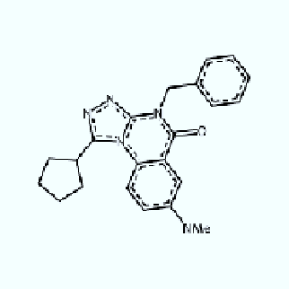 CNc1ccc2c(c1)c(=O)n(Cc1ccccc1)c1nnc(C3CCCC3)n21